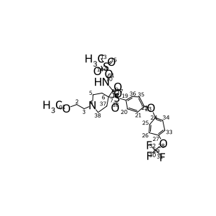 COCCN1CCC(C(=O)NOS(C)(=O)=O)(S(=O)(=O)c2ccc(Oc3ccc(OC(F)(F)F)cc3)cc2)CC1